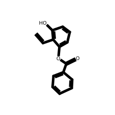 C=Cc1c(O)cccc1OC(=O)c1ccccc1